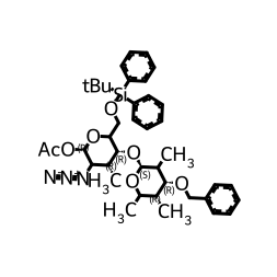 CC(=O)O[C@H]1OC(CO[Si](c2ccccc2)(c2ccccc2)C(C)(C)C)[C@H](O[C@@H]2OC(C)[C@@H](C)[C@@H](OCc3ccccc3)C2C)[C@H](C)C1N=[N+]=[N-]